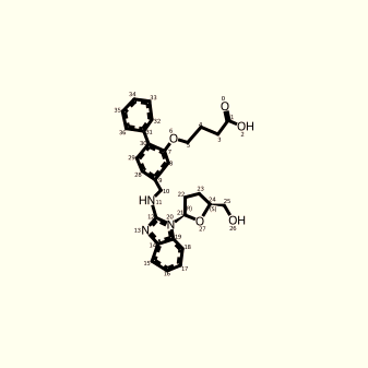 O=C(O)CCCOc1cc(CNc2nc3ccccc3n2[C@H]2CC[C@@H](CO)O2)ccc1-c1ccccc1